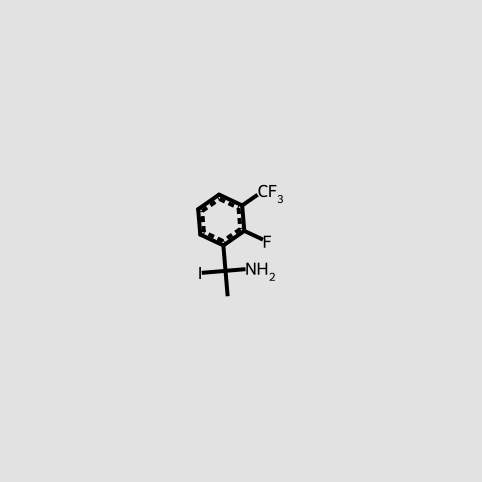 CC(N)(I)c1cccc(C(F)(F)F)c1F